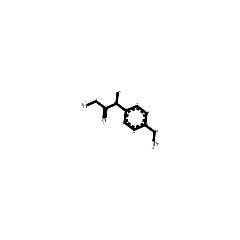 [3H]CC(=O)C(C)c1ccc(CC(C)C)cc1